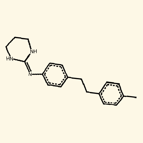 Cc1ccc(CCc2ccc(N=C3NCCCN3)cc2)cc1